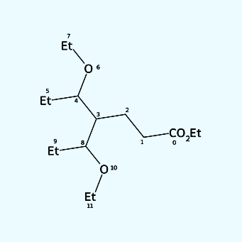 CCOC(=O)CCC(C(CC)OCC)C(CC)OCC